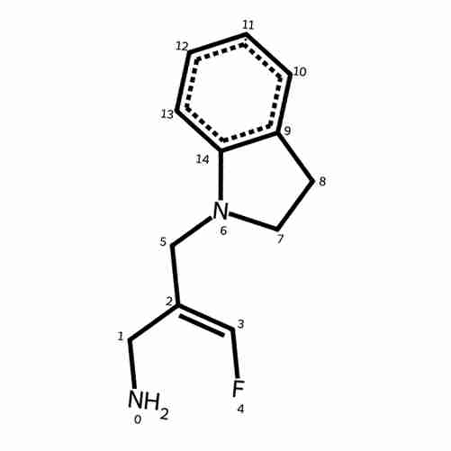 NCC(=CF)CN1CCc2c[c]ccc21